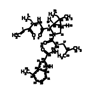 C=CC(=O)[C@H](C)NC(=O)[C@@H]1[C@@H]2[C@H](CN1C(=O)[C@H](CC(C)C)NC(=O)c1cc3c(C)cccc3[nH]1)C2(C)C